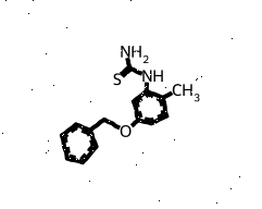 Cc1ccc(OCc2ccccc2)cc1NC(N)=S